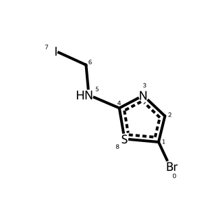 Brc1cnc(NCI)s1